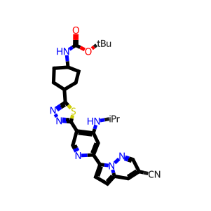 CC(C)Nc1cc(-c2ccc3cc(C#N)cnn23)ncc1-c1nnc(C2CCC(NC(=O)OC(C)(C)C)CC2)s1